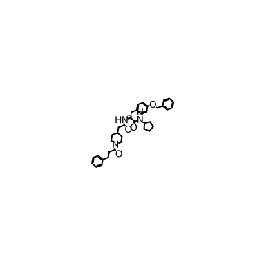 O=C(CC1CCN(C(=O)CCc2ccccc2)CC1)N[C@@H](Cc1ccc(OCc2ccccc2)cc1)C(=O)NC1CCCC1